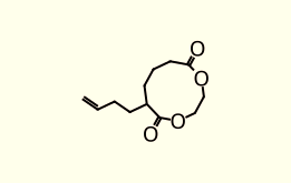 C=CCCC1CCCC(=O)OCCOC1=O